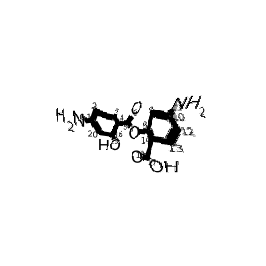 Nc1ccc(C(=O)Oc2cc(N)ccc2C(=O)O)c(O)c1